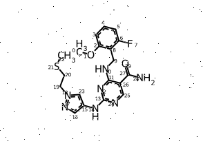 COc1cccc(F)c1CNc1nc(Nc2cnn(CCSC)c2)ncc1C(N)=O